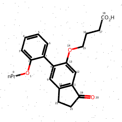 CCCOc1ccccc1-c1cc2c(cc1OCCCC(=O)O)C(=O)CC2